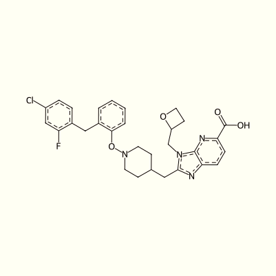 O=C(O)c1ccc2nc(CC3CCN(Oc4ccccc4Cc4ccc(Cl)cc4F)CC3)n(CC3CCO3)c2n1